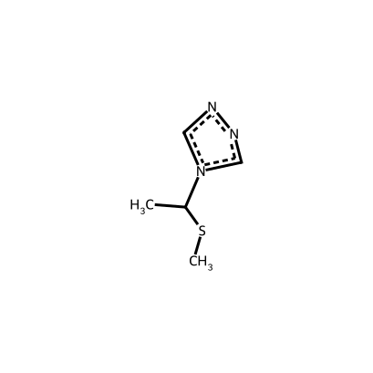 CSC(C)n1cnnc1